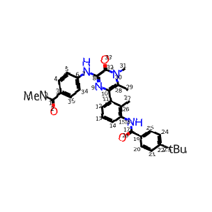 CNC(=O)c1ccc(Nc2nc(-c3cccc(NC(=O)c4ccc(C(C)(C)C)cc4)c3C)c(C)n(C)c2=O)cc1